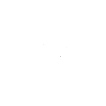 CCO[C@]1(c2ccccc2)C=C2c3c(cccc3N3CCC[C@H]31)N(Cc1ccccc1)C2O